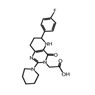 O=C(O)Cn1c(N2CCCCC2)nc2c(c1=O)NC(c1ccc(F)cc1)CC2